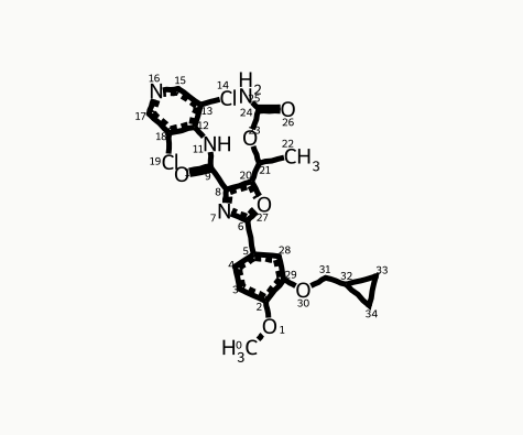 COc1ccc(-c2nc(C(=O)Nc3c(Cl)cncc3Cl)c(C(C)OC(N)=O)o2)cc1OCC1CC1